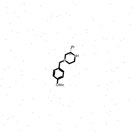 COc1ccc(CN2CCN[C@@H](C(C)C)C2)cc1